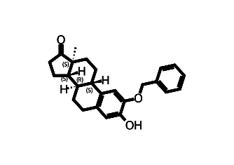 C[C@]12CC[C@@H]3c4cc(OCc5ccccc5)c(O)cc4CC[C@H]3[C@@H]1CCC2=O